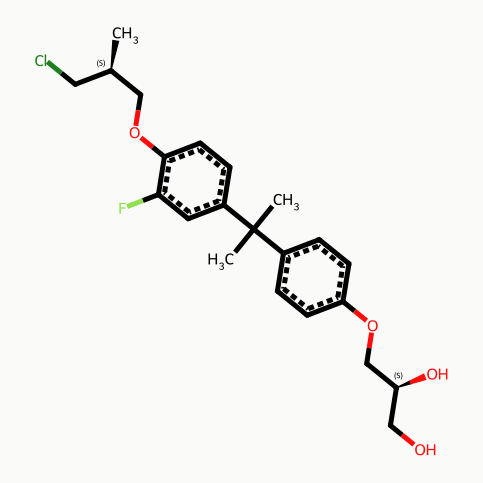 C[C@H](CCl)COc1ccc(C(C)(C)c2ccc(OC[C@@H](O)CO)cc2)cc1F